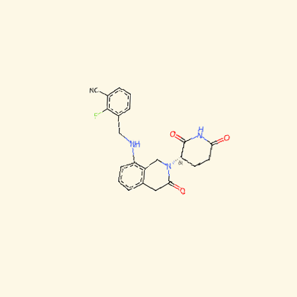 N#Cc1cccc(CNc2cccc3c2CN([C@H]2CCC(=O)NC2=O)C(=O)C3)c1F